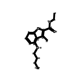 CCOC(=O)c1oc2cccc(OCCCBr)c2c1C